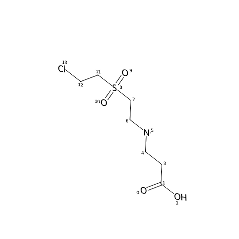 O=C(O)CC[N]CCS(=O)(=O)CCCl